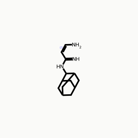 N=C(/C=C\N)NC1C2CC3CC(C2)CC1C3